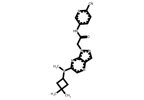 CN(c1cnc2cnn(CC(=O)Nc3ccc(C#N)nc3)c2n1)C1CC(C)(C)C1